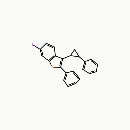 Ic1ccc2c(C3CC3c3ccccc3)c(-c3ccccc3)sc2c1